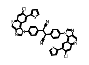 N#CC(c1ccc(-n2cnc3cnc4cc(Cl)c(-c5cccs5)cc4c32)cc1)C(C#N)c1ccc(-n2cnc3cnc4cc(Cl)c(-c5cccs5)cc4c32)cc1